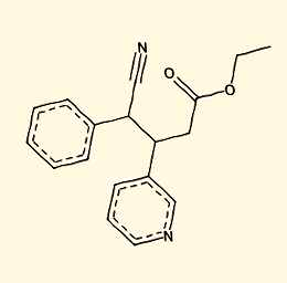 CCOC(=O)CC(c1cccnc1)C(C#N)c1ccccc1